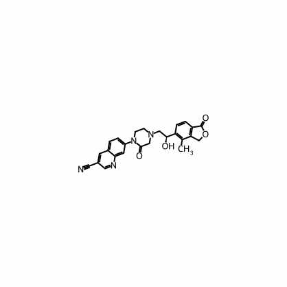 Cc1c([C@@H](O)CN2CCN(c3ccc4cc(C#N)cnc4c3)C(=O)C2)ccc2c1COC2=O